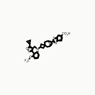 O=C(O)c1ccc2nc(N3C4CCC3CC3(CC(NCc5c(-c6ccccc6OC(F)(F)F)noc5C5CC5)C3)C4)sc2c1